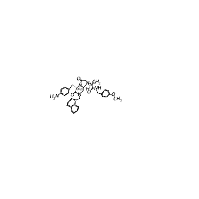 COc1ccc(CNC(=O)N(C)N2CC(=O)N3[C@@H](Cc4ccc(N)cc4)C(=O)N(Cc4cccc5ccccc45)C[C@@H]32)cc1